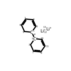 C1=CC[C-]([C-]2C=CC=CC2)C=C1.[Li+].[Li+]